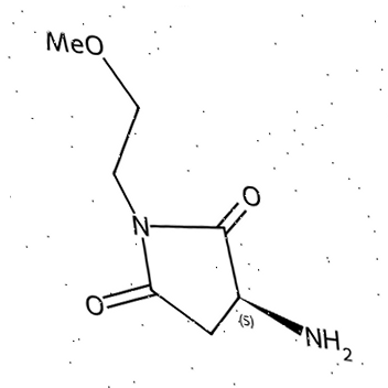 COCCN1C(=O)C[C@H](N)C1=O